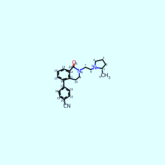 C[C@@H]1CCCN1CCN1CCc2c(cccc2-c2ccc(C#N)cc2)C1=O